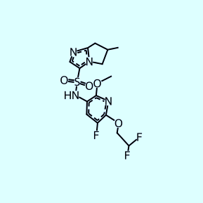 COc1nc(OCC(F)F)c(F)cc1NS(=O)(=O)c1cnc2n1CC(C)C2